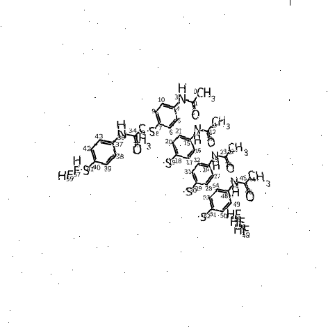 CC(=O)Nc1ccc([S])cc1.CC(=O)Nc1ccc([S])cc1.CC(=O)Nc1ccc([S])cc1.CC(=O)Nc1ccc([S])cc1.CC(=O)Nc1ccc([S])cc1.F.F.F.F.F